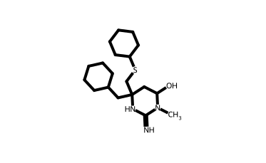 CN1C(=N)NC(CSC2CCCCC2)(CC2CCCCC2)CC1O